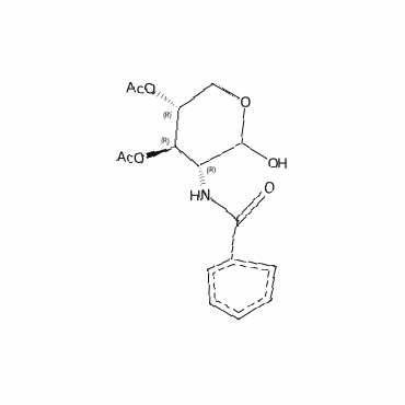 CC(=O)O[C@H]1[C@H](OC(C)=O)COC(O)[C@@H]1NC(=O)c1ccccc1